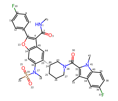 CNC(=O)c1c(-c2ccc(F)cc2)oc2cc(N(C)S(C)(=O)=O)c([C@H]3CCCN(C(=O)c4c(C)c5cc(F)ccc5n4C)C3)cc12